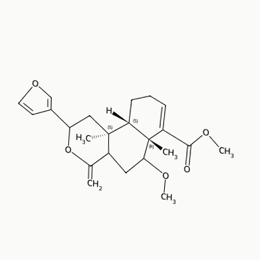 C=C1OC(c2ccoc2)C[C@]2(C)C1CC(OC)[C@@]1(C)C(C(=O)OC)=CCC[C@@H]21